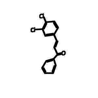 O=C(C=Cc1ccc(Cl)c(Cl)c1)c1ccccc1